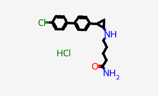 Cl.NC(=O)CCCCNC1CC1c1ccc(-c2ccc(Cl)cc2)cc1